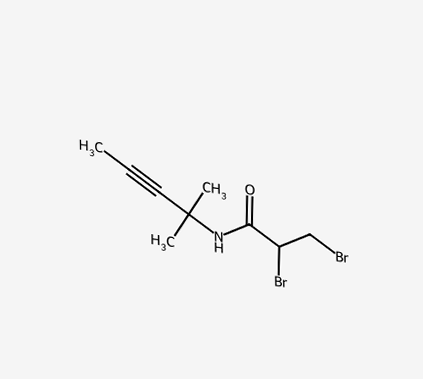 CC#CC(C)(C)NC(=O)C(Br)CBr